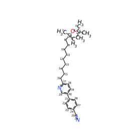 C[Si](C)(C)O[Si](C)(C)CCCCCCCCCc1ccc(-c2ccc(C#N)cc2)cn1